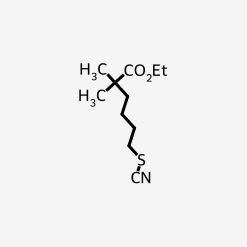 CCOC(=O)C(C)(C)CCCCSC#N